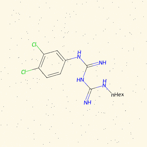 CCCCCCNC(=N)NC(=N)Nc1ccc(Cl)c(Cl)c1